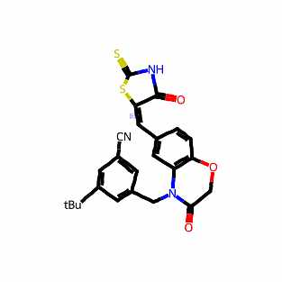 CC(C)(C)c1cc(C#N)cc(CN2C(=O)COc3ccc(/C=C4/SC(=S)NC4=O)cc32)c1